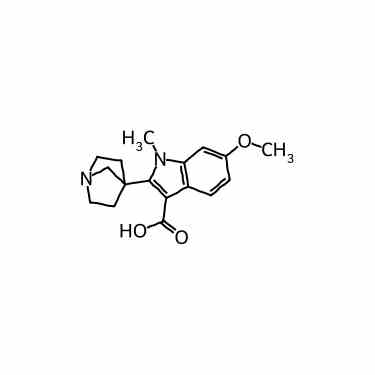 COc1ccc2c(C(=O)O)c(C34CCN(CC3)C4)n(C)c2c1